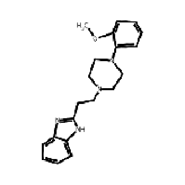 COc1ccccc1N1CCN(C[CH]c2nc3ccccc3[nH]2)CC1